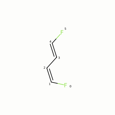 F/C=C\C=C\F